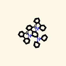 c1ccc(N(c2ccccc2)c2cc3c4c(c2)N2B(c5ccccc5-c5ccccc52)c2cccc(c2-4)B2c4ccccc4-c4ccccc4N23)cc1